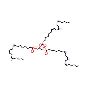 CCCC/C=C\C/C=C\C/C=C\CCCCCCC(=O)OCC(COC(=O)CCCCCC/C=C\C/C=C\C/C=C\CCCCC)OC(=O)CCCCCC/C=C\C/C=C\C/C=C\CCCC